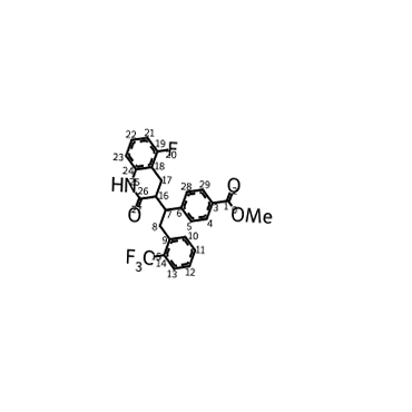 COC(=O)c1ccc(C(Cc2ccccc2C(F)(F)F)C2Cc3c(F)cccc3NC2=O)cc1